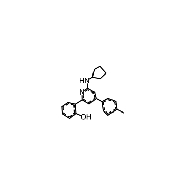 Cc1ccc(-c2cc(NC3CCCC3)nc(-c3ccccc3O)c2)cc1